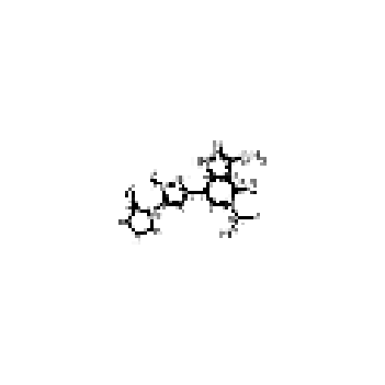 CC(C)[C@H](C)n1cc(-c2cc(N3CCCC3=O)n(C)n2)c2[nH]nc(N)c2c1=O